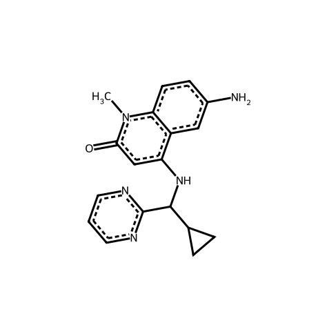 Cn1c(=O)cc(NC(c2ncccn2)C2CC2)c2cc(N)ccc21